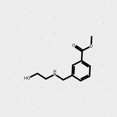 COC(=O)c1cccc(CNCCO)c1